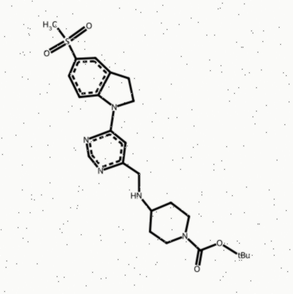 CC(C)(C)OC(=O)N1CCC(NCc2cc(N3CCc4cc(S(C)(=O)=O)ccc43)ncn2)CC1